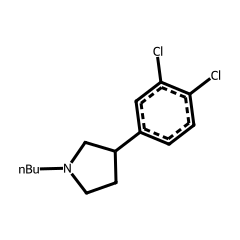 CCCCN1CCC(c2ccc(Cl)c(Cl)c2)C1